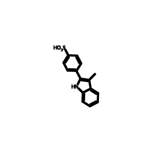 Cc1c(-c2ccc(S(=O)(=O)O)cc2)[nH]c2ccccc12